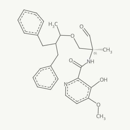 COc1ccnc(C(=O)N[C@](C)(C=O)COC(C)C(Cc2ccccc2)Cc2ccccc2)c1O